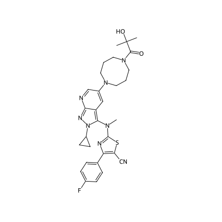 CN(c1nc(-c2ccc(F)cc2)c(C#N)s1)c1c2cc(N3CCCN(C(=O)C(C)(C)O)CCC3)cnc2nn1C1CC1